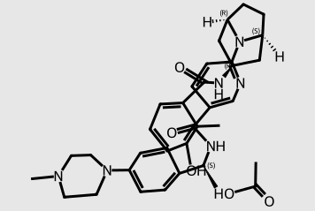 CC(=O)O.Cc1c(O)cccc1C(=O)N[C@H]1C[C@H]2CC[C@@H](C1)N2c1ccc(C(=O)N[C@@H](C)c2ccc(N3CCN(C)CC3)cc2)cn1